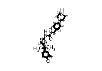 CC(C)(c1ccc(Cl)c(F)c1)c1csc(NC(=O)NCc2ccc(N3CCNCC3)cc2)n1